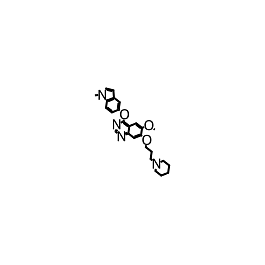 COc1cc2c(Oc3ccc4c(ccn4C)c3)ncnc2cc1OCCCN1CCCCC1